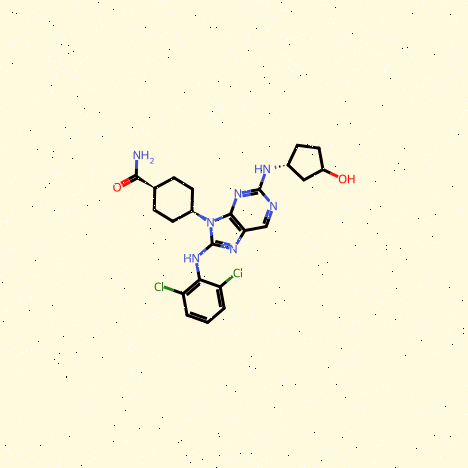 NC(=O)[C@H]1CC[C@@H](n2c(Nc3c(Cl)cccc3Cl)nc3cnc(N[C@@H]4CCC(O)C4)nc32)CC1